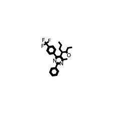 CCCC(C(=O)CC)c1c(C)nc(-c2ccccc2)nc1-c1ccc(C(F)(F)F)cc1